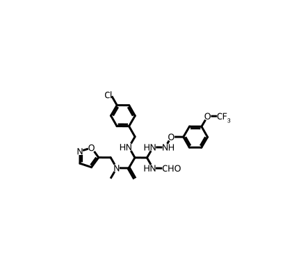 C=C(C(NCc1ccc(Cl)cc1)C(NC=O)NNOc1cccc(OC(F)(F)F)c1)N(C)Cc1ccno1